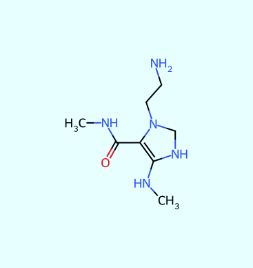 CNC(=O)C1=C(NC)NCN1CCN